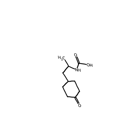 CC(CC1CCC(=O)CC1)NC(=O)O